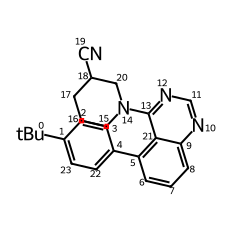 CC(C)(C)c1ccc(-c2cccc3ncnc(N4CCCC(C#N)C4)c23)cc1